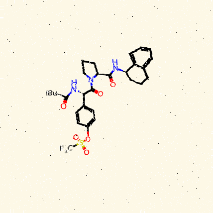 CC[C@H](C)C(=O)N[C@H](C(=O)N1CCC[C@H]1C(=O)N[C@@H]1CCCc2ccccc21)c1ccc(OS(=O)(=O)C(F)(F)F)cc1